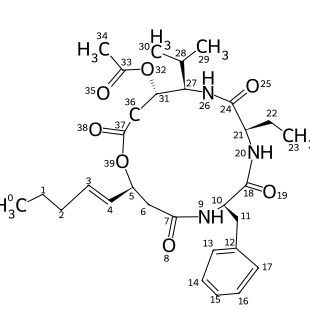 CCC/C=C/[C@@H]1CC(=O)N[C@H](Cc2ccccc2)C(=O)N[C@H](CC)C(=O)N[C@H](C(C)C)[C@@H](OC(C)=O)CC(=O)O1